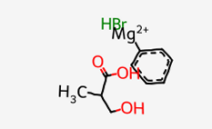 Br.CC(CO)C(=O)O.[Mg+2][c]1ccccc1